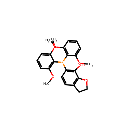 COc1cccc(OC)c1P(c1ccc2c(c1O)OCC2)c1c(OC)cccc1OC